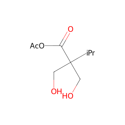 CC(=O)OC(=O)C(CO)(CO)C(C)C